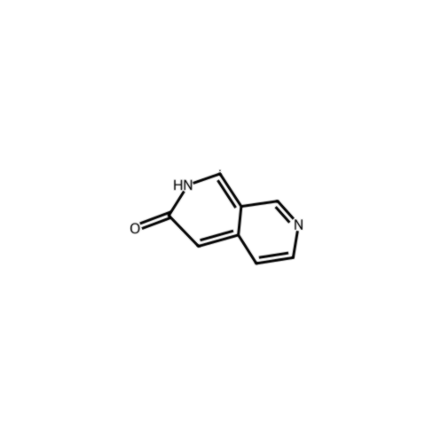 O=c1cc2ccncc2[c][nH]1